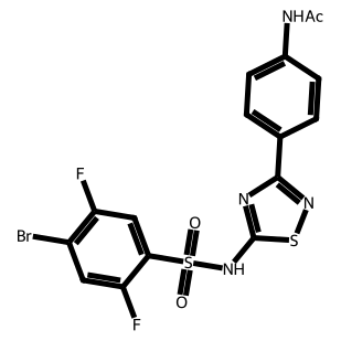 CC(=O)Nc1ccc(-c2nsc(NS(=O)(=O)c3cc(F)c(Br)cc3F)n2)cc1